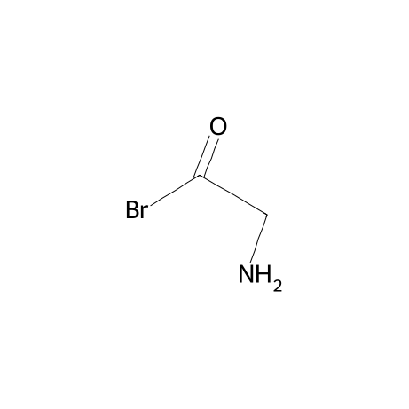 NCC(=O)Br